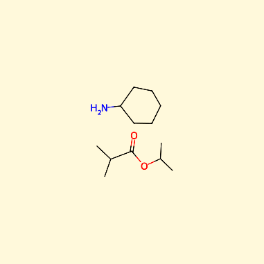 CC(C)OC(=O)C(C)C.NC1CCCCC1